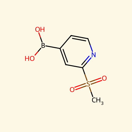 CS(=O)(=O)c1cc(B(O)O)ccn1